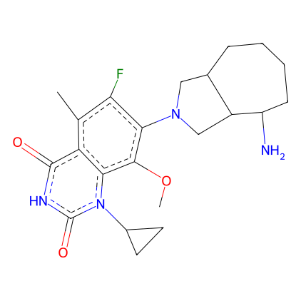 COc1c(N2CC3CCCCC(N)C3C2)c(F)c(C)c2c(=O)[nH]c(=O)n(C3CC3)c12